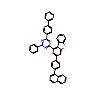 c1ccc(-c2ccc(-c3nc(-c4ccccc4)nc(-c4cc(-c5ccc(-c6cccc7ccccc67)cc5)cc5oc6ccccc6c45)n3)cc2)cc1